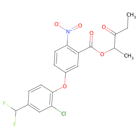 CCC(=O)C(C)OC(=O)c1cc(Oc2ccc(C(F)F)cc2Cl)ccc1[N+](=O)[O-]